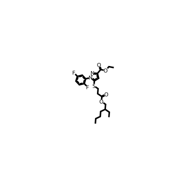 CCCCC(CC)COC(=O)CCSc1cc(C(=O)OCC)nn1-c1cc(F)ccc1F